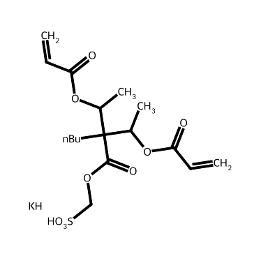 C=CC(=O)OC(C)C(CCCC)(C(=O)OCS(=O)(=O)O)C(C)OC(=O)C=C.[KH]